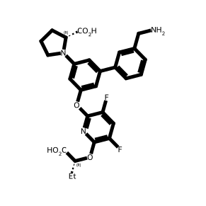 CC[C@@H](Oc1nc(Oc2cc(-c3cccc(CN)c3)cc(N3CCC[C@@H]3C(=O)O)c2)c(F)cc1F)C(=O)O